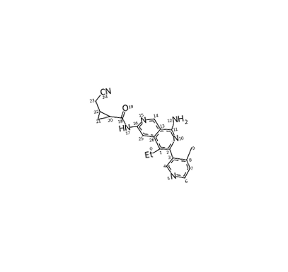 CCc1c(-c2cnccc2C)nc(N)c2cnc(NC(=O)C3CC3CC#N)cc12